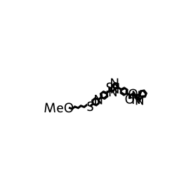 COCCCCCCSC1CCN(c2ccc(-c3nn4c(-c5ccc(C(=O)On6nnc7ccccc76)cc5)cnc4s3)cc2)CC1